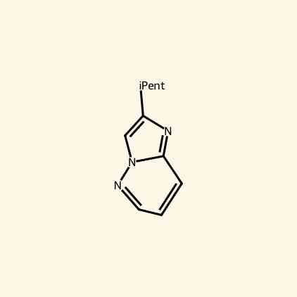 CCCC(C)c1cn2ncccc2n1